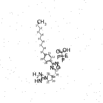 CCCCCCCCCCc1ccc(-c2noc(C[C@@H]3CCN(C(=N)N)C3)n2)cc1.O=C(O)C(F)(F)F